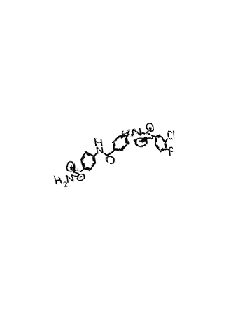 NS(=O)(=O)c1ccc(NC(=O)c2ccc(NS(=O)(=O)c3ccc(F)c(Cl)c3)cc2)cc1